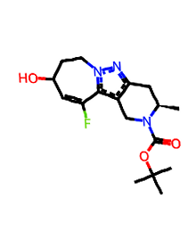 C[C@@H]1Cc2nn3c(c2CN1C(=O)OC(C)(C)C)C(F)=CC(O)CC3